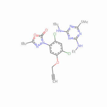 C#CCOc1cc(-n2nc(C(C)(C)C)oc2=O)c(Cl)cc1Cl.CCNc1nc(NC(C)(C)C)nc(SC)n1